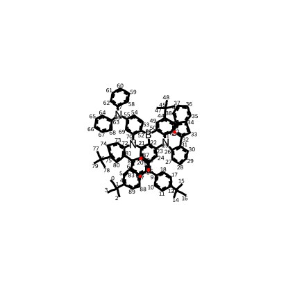 CC(C)(C)c1ccc(N(c2ccc(C(C)(C)C)cc2)c2cc3c4c(c2)N(c2ccccc2-c2cc5ccccc5s2)c2ccc(C(C)(C)C)cc2B4c2ccc(N(c4ccccc4)c4ccccc4)cc2N3c2ccc(C(C)(C)C)cc2-c2ccccc2)cc1